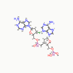 Nc1ncnc2c1ncn2[C@H]1C[C@H](C[PH](=O)OCC2O[C@@H](n3cnc4c(N)ncnc43)C[C@H]2F)C(CO[PH](=O)O)O1